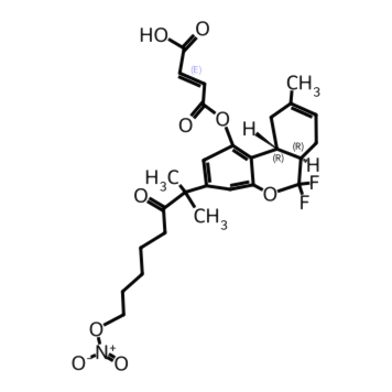 CC1=CC[C@@H]2[C@@H](C1)c1c(OC(=O)/C=C/C(=O)O)cc(C(C)(C)C(=O)CCCCCO[N+](=O)[O-])cc1OC2(F)F